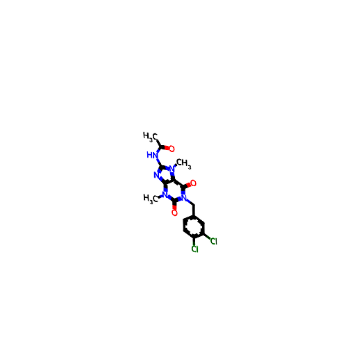 CC(=O)Nc1nc2c(c(=O)n(Cc3ccc(Cl)c(Cl)c3)c(=O)n2C)n1C